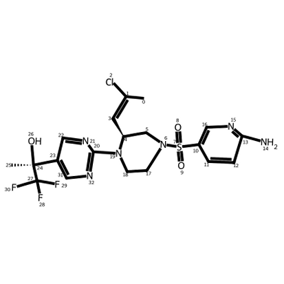 C/C(Cl)=C\[C@H]1CN(S(=O)(=O)c2ccc(N)nc2)CCN1c1ncc([C@](C)(O)C(F)(F)F)cn1